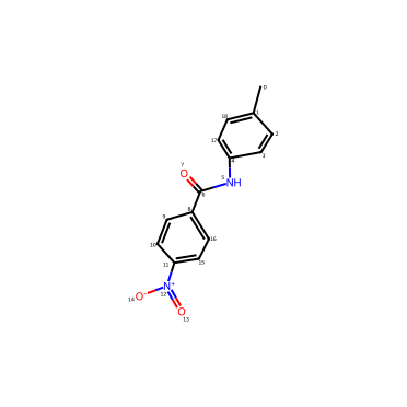 Cc1ccc(NC(=O)c2ccc([N+](=O)[O-])cc2)cc1